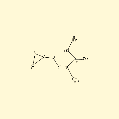 CC(=CCC1CO1)C(=O)OC(C)C